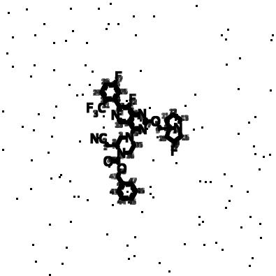 N#CC[C@H]1CN(c2nc(OC[C@@]34CCCN3C[C@H](F)C4)nc3c(F)c(-c4cc(F)ccc4C(F)(F)F)ncc23)CCN1C(=O)OCc1ccccc1